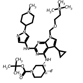 CN1CCC(n2cc(Nc3nc(N[C@H]4CN(C(=O)OC(C)(C)C)CC[C@H]4F)c4c(C5CC5)cn(COCC[Si](C)(C)C)c4n3)cn2)CC1